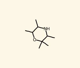 CC1NC(C)C(C)(C)OC1C